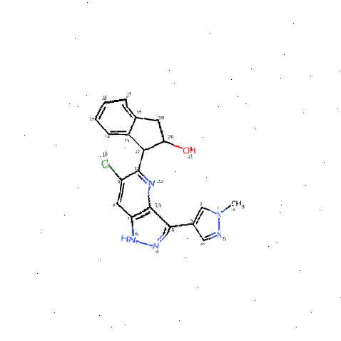 Cn1cc(-c2n[nH]c3cc(Cl)c(C4c5ccccc5CC4O)nc23)cn1